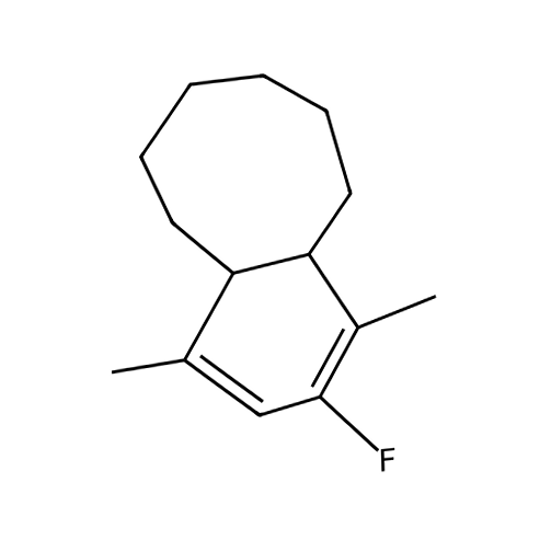 CC1=CC(F)=C(C)C2CCCCCCC12